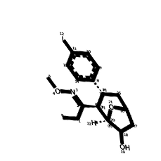 CCC(=NOC)[C@H]1[C@H](c2ccc(I)cc2)CC2CC(O)[C@@H]1O2